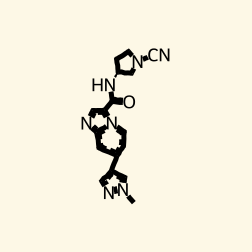 Cn1cc(-c2ccn3c(C(=O)N[C@@H]4CCN(C#N)C4)cnc3c2)cn1